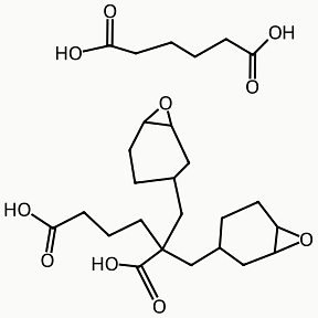 O=C(O)CCCC(CC1CCC2OC2C1)(CC1CCC2OC2C1)C(=O)O.O=C(O)CCCCC(=O)O